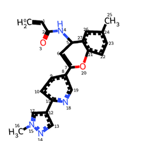 C=CC(=O)NC1C=C(c2ccc(-c3cnn(C)c3)nc2)Oc2ccc(C)cc21